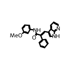 COc1cccc(NC(=O)/C(=C/c2c[nH]c3ncccc23)c2ccccc2)c1